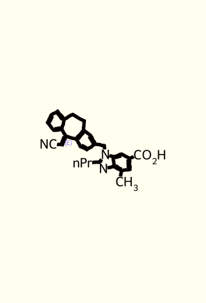 CCCc1nc2c(C)cc(C(=O)O)cc2n1Cc1ccc2c(c1)CCc1ccccc1/C2=C\C#N